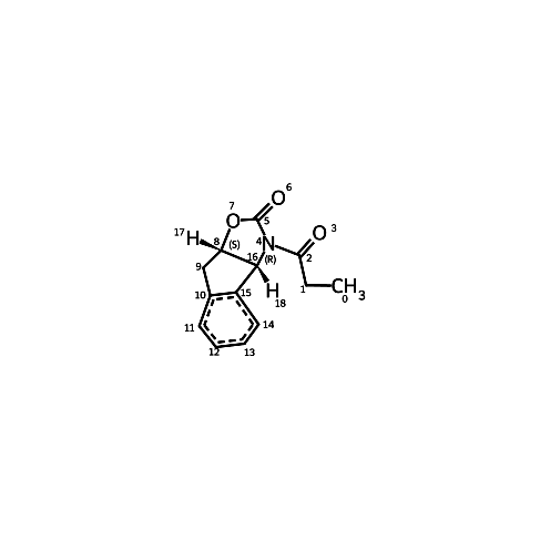 CCC(=O)N1C(=O)O[C@H]2Cc3ccccc3[C@H]21